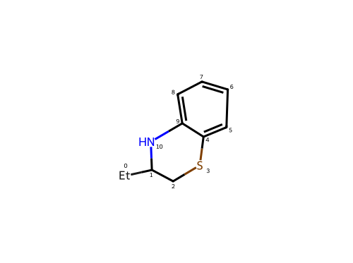 CCC1CSc2ccccc2N1